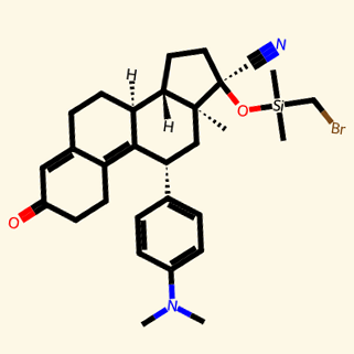 CN(C)c1ccc([C@H]2C[C@@]3(C)[C@@H](CC[C@@]3(C#N)O[Si](C)(C)CBr)[C@@H]3CCC4=CC(=O)CCC4=C32)cc1